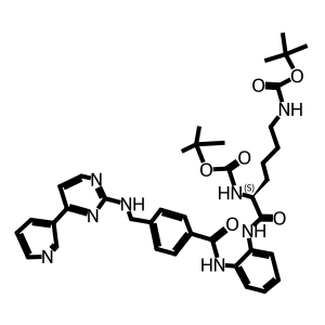 CC(C)(C)OC(=O)NCCCC[C@H](NC(=O)OC(C)(C)C)C(=O)Nc1ccccc1NC(=O)c1ccc(CNc2nccc(-c3cccnc3)n2)cc1